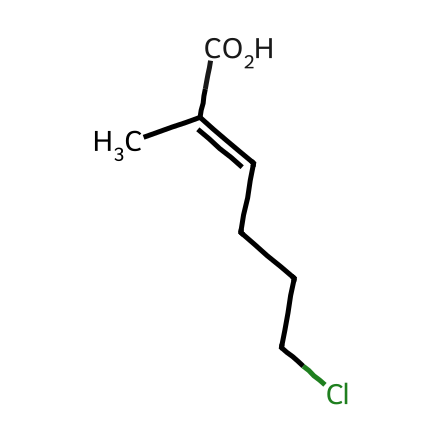 CC(=CCCCCl)C(=O)O